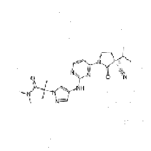 CC(C)[C@]1(C#N)CCN(c2ccnc(Nc3cnn(C(C)(C)C(=O)N(C)C)c3)n2)C1=O